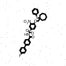 O=C(NS(=O)(=O)c1ccc(OCC2(Sc3ccccc3)CCCCCC2)c([N+](=O)[O-])c1)c1ccc(-c2ccc(F)cc2)cc1